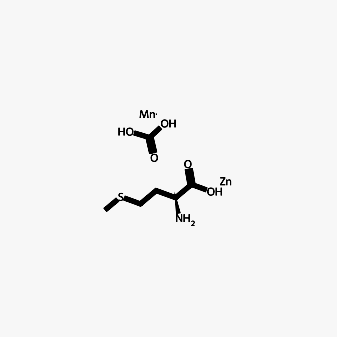 CSCC[C@H](N)C(=O)O.O=C(O)O.[Mn].[Zn]